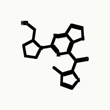 Cc1ccsc1C(=O)c1nc(N2CCCC2CO)nc2ccsc12